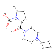 C[C@@H]1CC[C@@H](C(=O)N2CCN(C3CCC3)CC2)N1C(=O)O